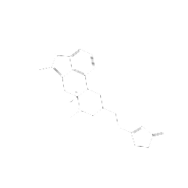 CN1CC(COC2=CC(=O)CC2)CC2c3cccc4[nH]c(Cl)c(c34)C[C@H]21